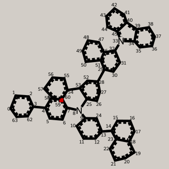 c1ccc(-c2ccc(N(c3cccc(-c4cccc5ccccc45)c3)c3ccc(-c4ccc(-n5c6ccccc6c6ccccc65)c5ccccc45)cc3-c3ccccc3)cc2)cc1